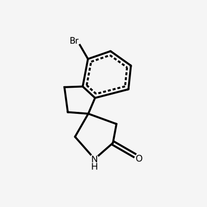 O=C1CC2(CCc3c(Br)cccc32)CN1